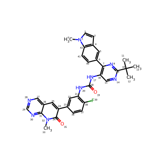 Cn1ccc2cc(-c3nc(C(C)(C)C)ncc3NC(=O)Nc3cc(-c4cc5cncnc5n(C)c4=O)ccc3F)ccc21